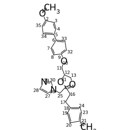 COc1ccc(-c2ccc(OCC3COC(CCc4ccc(C)cc4)(Cn4ccnc4)O3)cc2)cc1